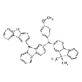 COc1ccc(N(c2ccc3c(c2)C(C)(C)c2ccccc2-3)c2ccc3c4ccccc4n(-c4ccc5oc6ccccc6c5c4)c3c2)cc1